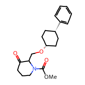 COC(=O)N1CCCC(=O)C1CO[C@H]1CC[C@@H](c2ccccc2)CC1